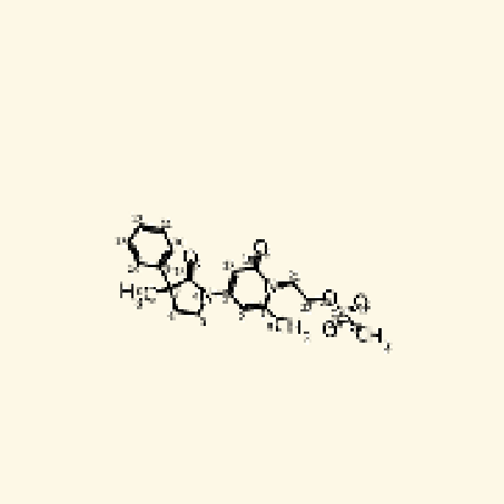 Cc1cc(N2CCC(C)(c3ccccc3)C2=O)cc(=O)n1CCOS(C)(=O)=O